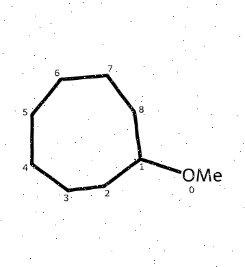 CO[C]1CCCCCCC1